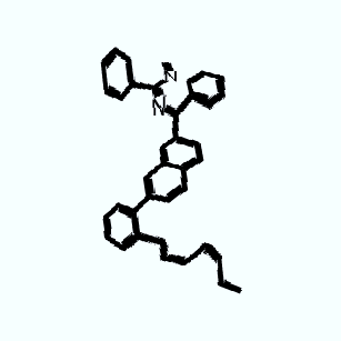 C=C/C=C\C=C/Cc1ccccc1-c1ccc2ccc(C(/N=C(\N=C)c3ccccc3)c3ccccc3)cc2c1